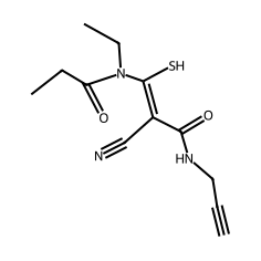 C#CCNC(=O)/C(C#N)=C(\S)N(CC)C(=O)CC